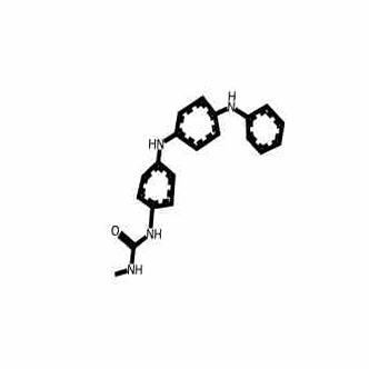 CNC(=O)Nc1ccc(Nc2ccc(Nc3ccccc3)cc2)cc1